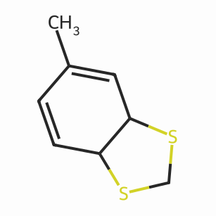 CC1=CC2SCSC2C=C1